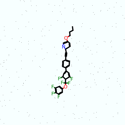 CCCCOc1ccc(C#Cc2ccc(C3=CC(F)C(C(F)(F)Oc4cc(F)c(F)c(F)c4)C(F)=C3)cc2)nc1